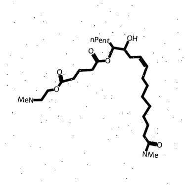 CCCCCC(OC(=O)CCCC(=O)OCCNC)C(O)C/C=C\CCCCCCCC(=O)NC